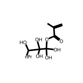 C=C(C)C(=O)OC(O)(O)C(O)(O)C(O)CCC